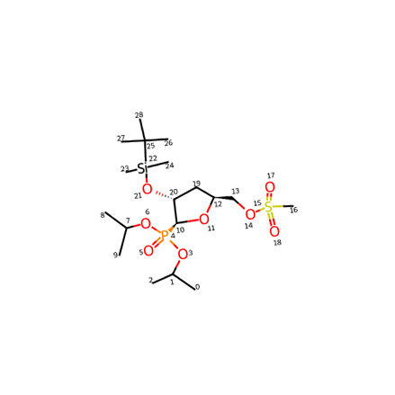 CC(C)OP(=O)(OC(C)C)[C@@H]1O[C@H](COS(C)(=O)=O)C[C@H]1O[Si](C)(C)C(C)(C)C